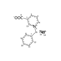 O=C([O-])c1ccc[n+](Cc2ccccc2)c1.[Cl-].[Na+]